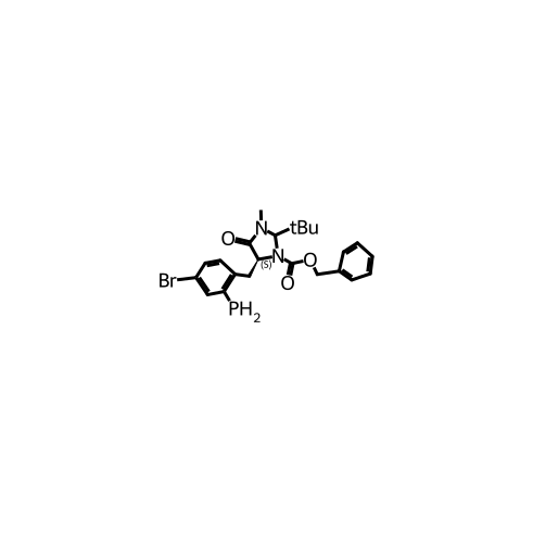 CN1C(=O)[C@H](Cc2ccc(Br)cc2P)N(C(=O)OCc2ccccc2)C1C(C)(C)C